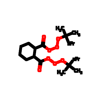 CCCC(C)(C)OOOC(=O)C1CCCCC1C(=O)OOOC(C)(C)CCC